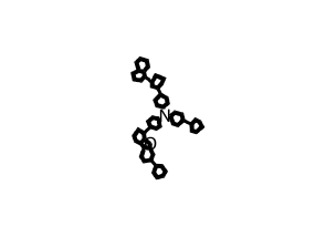 c1ccc(-c2ccc(N(c3ccc(-c4cccc(-c5cccc6ccccc56)c4)cc3)c3ccc(-c4cccc5c4oc4cc(-c6ccccc6)ccc45)cc3)cc2)cc1